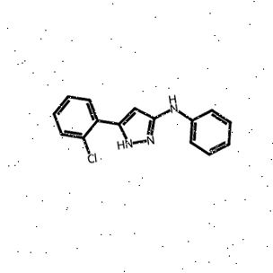 Clc1ccccc1-c1cc(Nc2ccccc2)n[nH]1